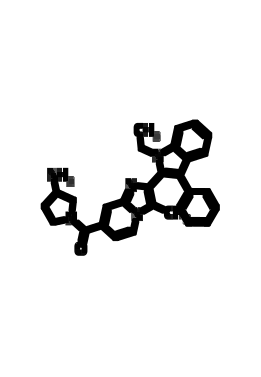 CCn1c(-c2nc3cc(C(=O)N4CCC(N)C4)ccn3c2C)c(-c2ccccc2)c2ccccc21